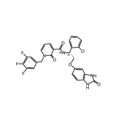 O=C(N[C@@H](COc1ccc2[nH]c(=O)[nH]c2c1)c1ccccc1Cl)c1cccn(Cc2cc(F)c(F)c(F)c2)c1=O